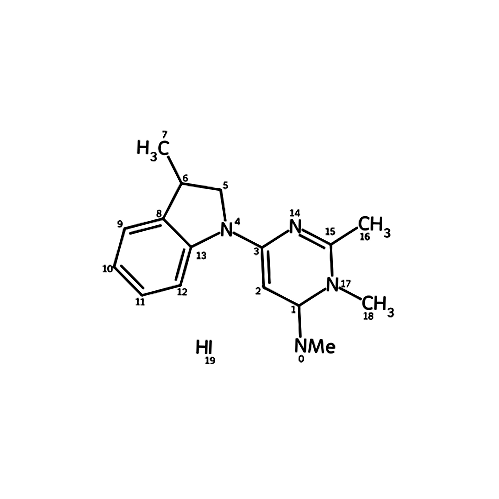 CNC1C=C(N2CC(C)c3ccccc32)N=C(C)N1C.I